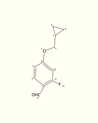 O=Cc1ccc(OCC2CC2)cc1F